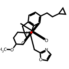 COC1CCC2(CC1)Cc1ccc(CCC3CC3)cc1C21NC(=O)N(Cc2ncco2)C1=O